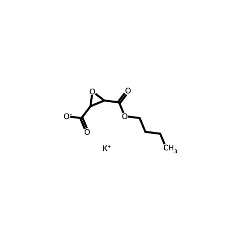 CCCCOC(=O)C1OC1C(=O)[O-].[K+]